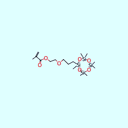 C=C(C)C(=O)OCCOCCC[Si]1(C)O[Si](C)(C)O[Si](C)(C)O[Si](C)(C)O1